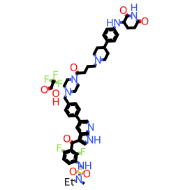 CCN(C)S(=O)(=O)Nc1ccc(F)c(C(=O)c2c[nH]c3ncc(-c4ccc(CN5CCN(C(=O)CCCN6CCC(c7ccc(NC8CCC(=O)NC8=O)cc7)CC6)CC5)cc4)cc23)c1F.O=C(O)C(F)(F)F